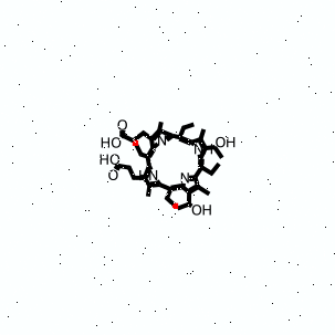 CCc1c2nc(c(CC)c3[nH]c(c(C)c3C(C)O)c(CC)c3nc(c(CC)c4[nH]c1c(C)c4CCC(=O)O)C(CCC(=O)O)=C3C)C(C)=C2C(C)O